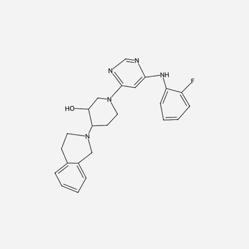 OC1CN(c2cc(Nc3ccccc3F)ncn2)CCC1N1CCc2ccccc2C1